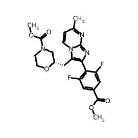 COC(=O)c1cc(F)c(-c2nc3nc(C)ccn3c2C[C@H]2CN(C(=O)OC)CCO2)c(F)c1